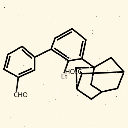 CCc1c(-c2cccc(C=O)c2)cccc1C12CC3CC(C1)C(C(=O)O)C(C3)C2